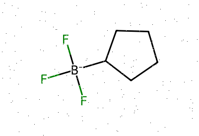 F[B-](F)(F)C1CCCC1